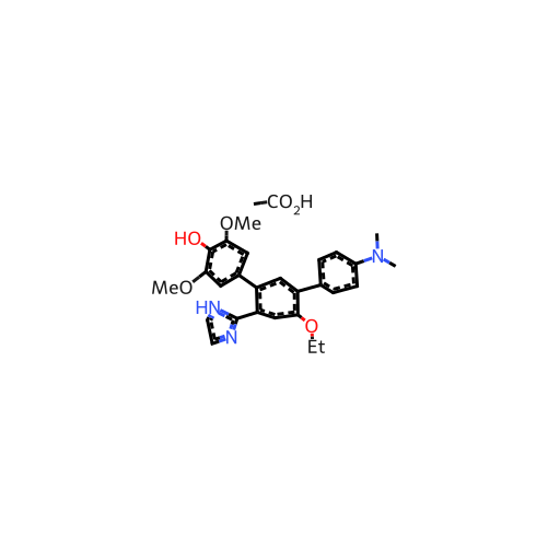 CC(=O)O.CCOc1cc(-c2ncc[nH]2)c(-c2cc(OC)c(O)c(OC)c2)cc1-c1ccc(N(C)C)cc1